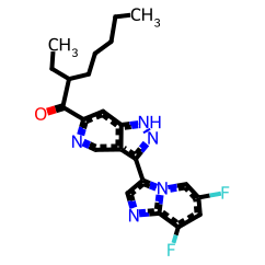 CCCCCC(CC)C(=O)c1cc2[nH]nc(-c3cnc4c(F)cc(F)cn34)c2cn1